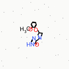 COc1ccccc1OCC1CCN(Cc2ncc[nH]c2=O)C1